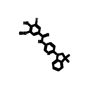 CC1(C)CN(c2ccc(NC(=O)c3cc(F)c(O)c(C=O)c3)cn2)c2ccccc21